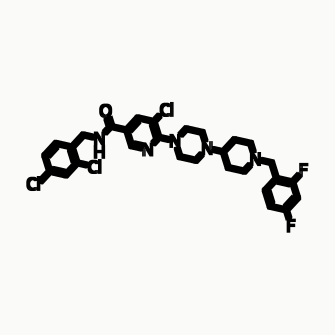 O=C(NCc1ccc(Cl)cc1Cl)c1cnc(N2CCN(C3CCN(Cc4ccc(F)cc4F)CC3)CC2)c(Cl)c1